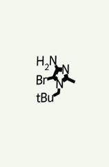 Cc1nc(N)c(Br)n1CC(C)(C)C